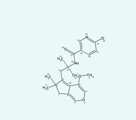 COC1=COC=C2CC(C)(C)C(CC(C)(C)NC(=O)c3ccc(Cl)nc3)=C21